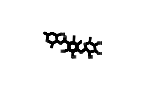 Cc1c(I)c(OC2OC(C)C(O)C(O)C2O)c(O)c(O)c1C(=O)SC1C(O)CC(C)OC1C